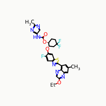 CCOc1cnc2c(-c3nc4cc(F)c(O[C@H]5CC(F)(F)CC[C@H]5OC(=O)Nc5cnc(C)nc5)cc4s3)cc(C)cc2n1